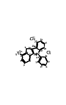 [Cl-].[Cl-].[Y+2][c]1cccc2c1Cc1c-2n(-c2ccccc2)c2ccccc12